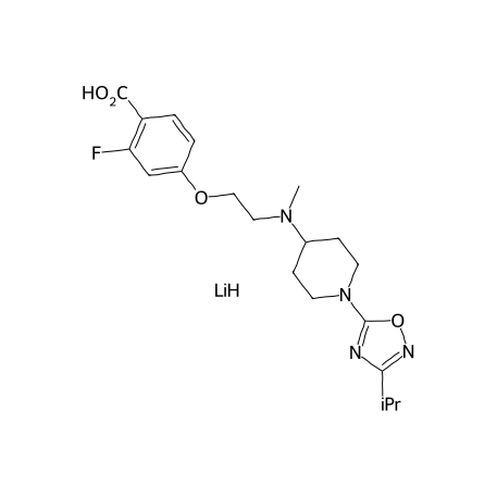 CC(C)c1noc(N2CCC(N(C)CCOc3ccc(C(=O)O)c(F)c3)CC2)n1.[LiH]